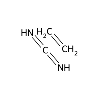 C=C.N=C=N